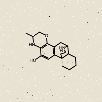 CC1COc2c3c(cc(O)c2N1)[C@]12CCCC[C@@H]1C(C3)NCC2